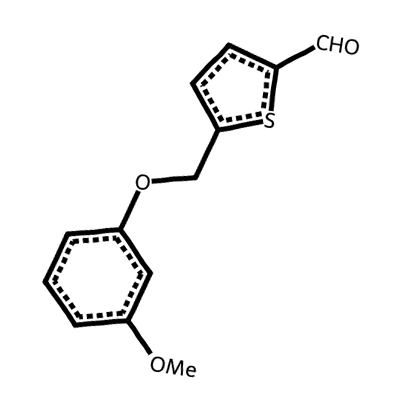 COc1cccc(OCc2ccc(C=O)s2)c1